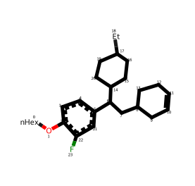 CCCCCCOc1ccc(C(CC2CC=CCC2)C2CCC(CC)CC2)cc1F